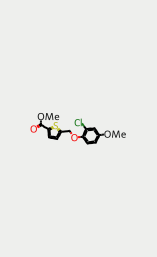 COC(=O)c1ccc(COc2ccc(OC)cc2Cl)s1